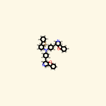 c1ccc2c(c1)oc1c(-c3ccc(N(c4ccc(-c5cncc6c5oc5ccccc56)cc4)c4cccc5c4sc4ccccc45)cc3)cncc12